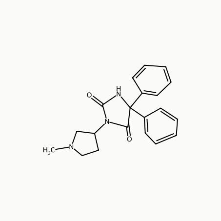 CN1CCC(N2C(=O)NC(c3ccccc3)(c3ccccc3)C2=O)C1